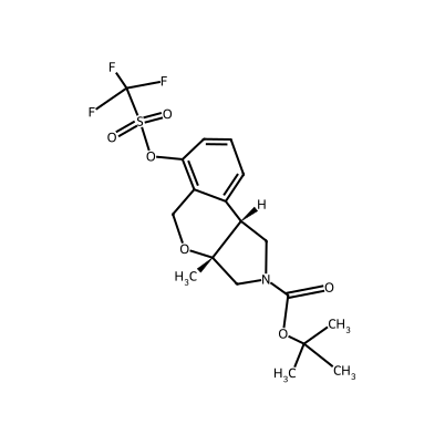 CC(C)(C)OC(=O)N1C[C@H]2c3cccc(OS(=O)(=O)C(F)(F)F)c3CO[C@@]2(C)C1